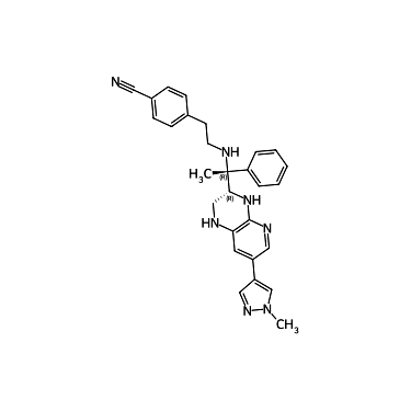 Cn1cc(-c2cnc3c(c2)NC[C@H]([C@](C)(NCCc2ccc(C#N)cc2)c2ccccc2)N3)cn1